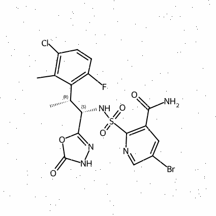 Cc1c(Cl)ccc(F)c1[C@@H](C)[C@H](NS(=O)(=O)c1ncc(Br)cc1C(N)=O)c1n[nH]c(=O)o1